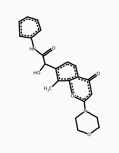 Cc1c(C(O)C(=O)Nc2ccccc2)ccc2c(=O)cc(N3CCOCC3)oc12